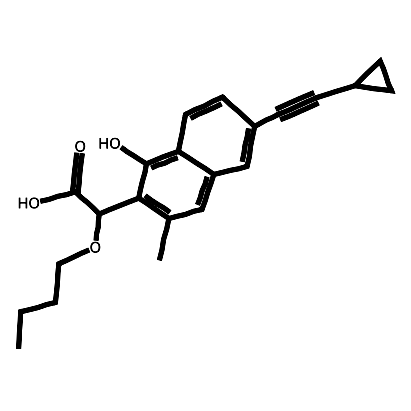 CCCCOC(C(=O)O)c1c(C)cc2cc(C#CC3CC3)ccc2c1O